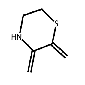 C=C1NCCSC1=C